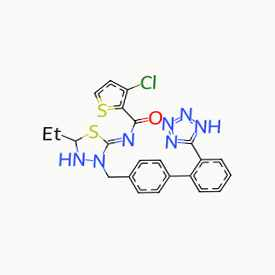 CCC1NN(Cc2ccc(-c3ccccc3-c3nnn[nH]3)cc2)C(=NC(=O)c2sccc2Cl)S1